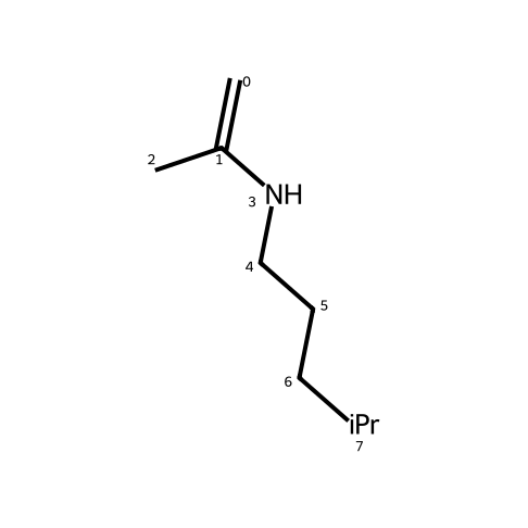 C=C(C)NCCCC(C)C